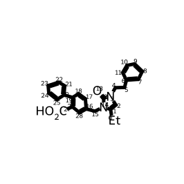 CCc1cn(CCc2ccccc2)c(=O)n1Cc1ccc(-c2ccccc2)c(C(=O)O)c1